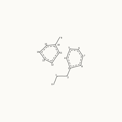 CCCc1ccccc1.Cc1ccccc1